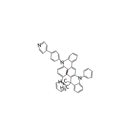 CC1(C)c2ccccc2N(c2ccccc2)c2cc(-c3ccccc3N(c3ccc(-c4ccccc4)cc3)c3ccc(-c4ccncc4)cc3)ccc21